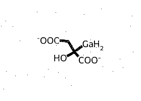 O=C([O-])C[C](O)([GaH2])C(=O)[O-]